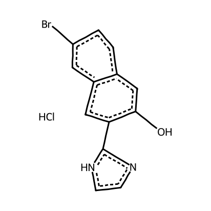 Cl.Oc1cc2ccc(Br)cc2cc1-c1ncc[nH]1